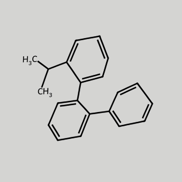 CC(C)c1ccccc1-c1ccccc1-c1ccccc1